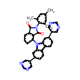 Cc1cc(C)c(N2C(=O)c3cccc(-n4c5cc(-c6cncnc6)ccc5c5ccc(-c6cncnc6)cc54)c3C2=O)c(C)c1